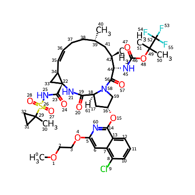 COCCOc1cc2c(Cl)cccc2c(O[C@@H]2C[C@H]3C(=O)N[C@]4(C(=O)NS(=O)(=O)C5(C)CC5)CC4/C=C\CC[C@H](C)C[C@@H](C)[C@H](NC(=O)OC(C)(C)C(F)(F)F)C(=O)N3C2)n1